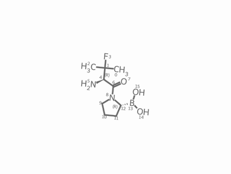 CC(C)(F)[C@H](N)C(=O)N1CCC[C@H]1B(O)O